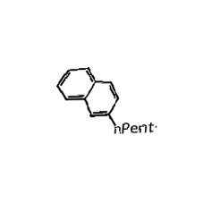 [CH2]CCC[CH]c1ccc2ccccc2c1